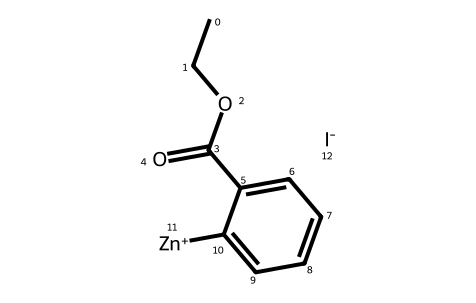 CCOC(=O)c1cccc[c]1[Zn+].[I-]